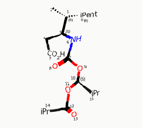 CCC[C@@H](C)[C@@H](C)[C@H](CC(=O)O)NC(=O)O[C@H](OC(=O)C(C)C)C(C)C